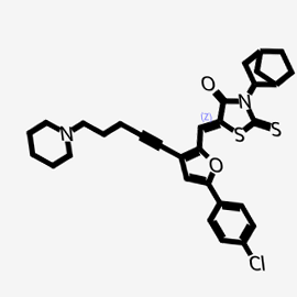 O=C1/C(=C/c2oc(-c3ccc(Cl)cc3)cc2C#CCCCN2CCCCC2)SC(=S)N1C1CC2CCC1C2